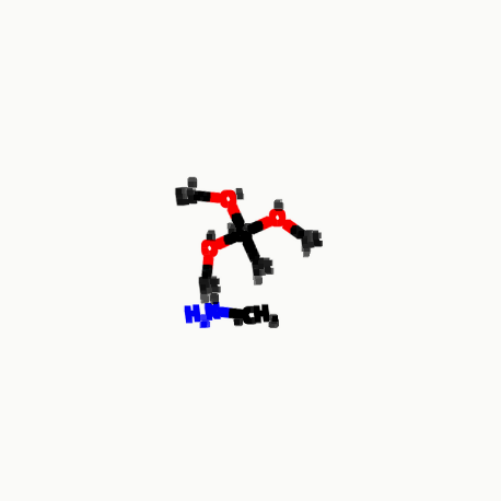 CCO[Si](CC)(OCC)OCC.CN